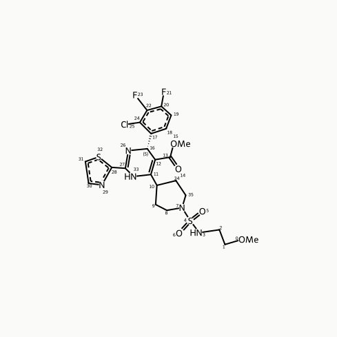 COCCNS(=O)(=O)N1CCC(C2=C(C(=O)OC)[C@@H](c3ccc(F)c(F)c3Cl)N=C(c3nccs3)N2)CC1